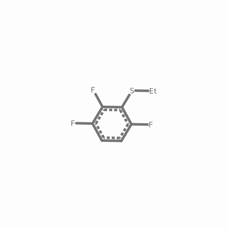 CCSc1c(F)ccc(F)c1F